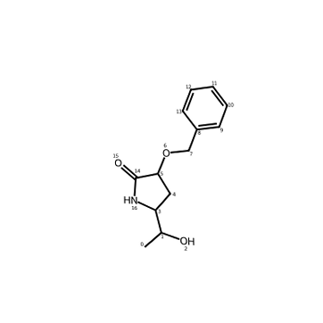 CC(O)C1CC(OCc2ccccc2)C(=O)N1